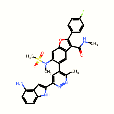 CNC(=O)c1c(-c2ccc(F)cc2)oc2cc(N(C)S(C)(=O)=O)c(-c3cc(-c4cc5c(N)cccc5[nH]4)nnc3C)cc12